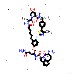 Cc1ncsc1-c1ccc([C@H](C)NC(=O)[C@@H]2C[C@@H](O)CN2C(=O)[C@@H](NC(=O)CCCCCc2cc(OC[C@H](CCC(N)=O)NC(=O)[C@@H]3Cc4cccc5c4N3C(=O)[C@@H](N)CC5)ccc2F)C(C)(C)C)cc1